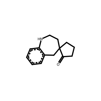 O=C1CCCC12CCNc1ccccc1C2